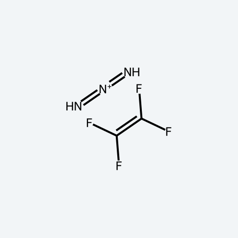 FC(F)=C(F)F.N=[N+]=N